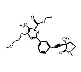 CCOC(=O)c1nc(-c2cccc(C#C[C@]3(O)CCN(C)C3=O)c2)nc(OCCOC)c1N